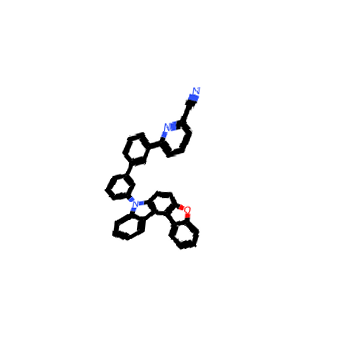 N#Cc1cccc(-c2cccc(-c3cccc(-n4c5ccccc5c5c6c(ccc54)oc4ccccc46)c3)c2)n1